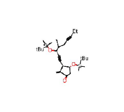 C=C1C(=O)C[C@@H](O[Si](C)(C)C(C)(C)C)[C@@H]1C#C[C@@H](O[Si](C)(C)C(C)(C)C)C(C)CC#CCC